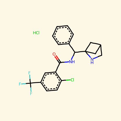 Cl.O=C(NC(c1ccccc1)C12CC(CN1)C2)c1cc(C(F)(F)F)ccc1Cl